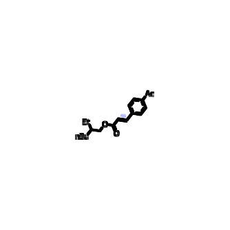 CCCCC(CC)COC(=O)/C=C/c1ccc(C(C)=O)cc1